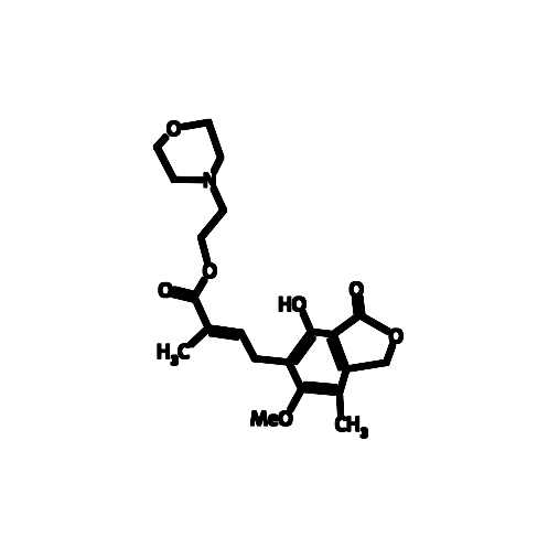 COc1c(C)c2c(c(O)c1C/C=C(\C)C(=O)OCCN1CCOCC1)C(=O)OC2